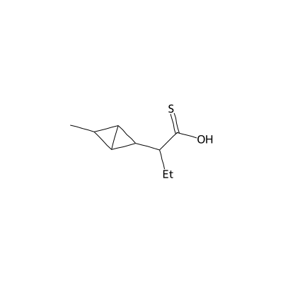 CCC(C(O)=S)C1C2C(C)C12